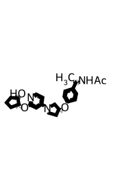 CC(=O)N[C@@H](C)c1ccc(O[C@@H]2CCN(c3ccnc(O[C@@H]4CCC[C@H]4O)c3)C2)cc1